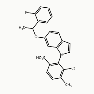 CCc1c(C)ccc(S(=O)(=O)O)c1-n1ccc2ccc(OC(C)c3ccccc3F)cc21